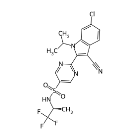 CC(C)n1c(-c2ncc(S(=O)(=O)N[C@@H](C)C(F)(F)F)cn2)c(C#N)c2ccc(Cl)cc21